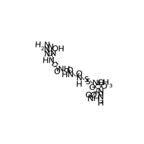 CC1=C(NCCSSCCNC(=O)CCNC(=O)CCCNC(=O)c2ccc(NCc3cnc4nc(N)nc(O)c4n3)cc2)C(=O)C2=C(C1=O)N1CC3NC3C1[C@@H]2COC(N)=O